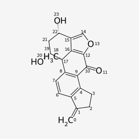 C=C1CCc2c1ccc1c2C(=O)c2occ3c2[C@]1(C)[C@H](O)C[C@@H]3O